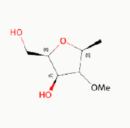 COC1[C@H](C)O[C@H](CO)[C@@H]1O